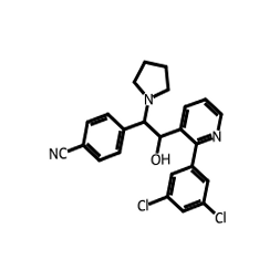 N#Cc1ccc(C(C(O)c2cccnc2-c2cc(Cl)cc(Cl)c2)N2CCCC2)cc1